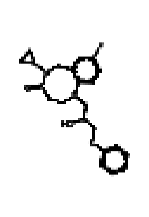 O=C1CCN(CC(O)COc2ccccc2)c2ccc(F)cc2CN1C1CC1